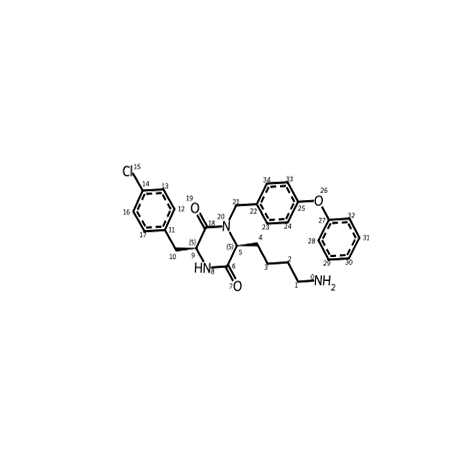 NCCCC[C@H]1C(=O)N[C@@H](Cc2ccc(Cl)cc2)C(=O)N1Cc1ccc(Oc2ccccc2)cc1